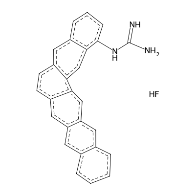 F.N=C(N)Nc1cccc2cc3ccc4cc5cc6ccccc6cc5cc4c3cc12